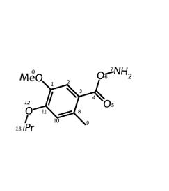 COc1cc(C(=O)ON)c(C)cc1OC(C)C